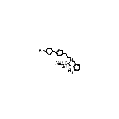 CC#N.CC(C)N(CCCc1ccc(C2CCC(Br)CC2)cc1)Cc1ccccc1